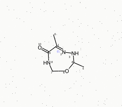 C/C1=N\NC(C)OCNC1=O